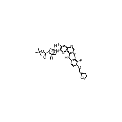 CC(C)(C)OC(=O)N1C[C@@H]2C[C@H]1CN2c1nc2c(Nc3ccc(OC[C@H]4CCCO4)c(F)c3F)ncnc2cc1F